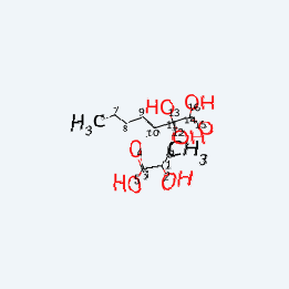 CC(O)C(=O)O.CCCCCC(O)(O)C(=O)O